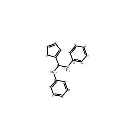 C1=CCC(C(Nc2ccccc2)[SiH2]c2ccccc2)=C1